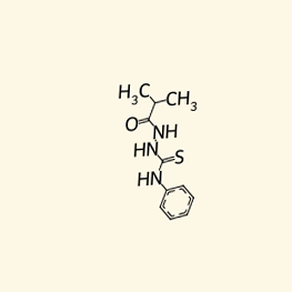 CC(C)C(=O)NNC(=S)Nc1ccccc1